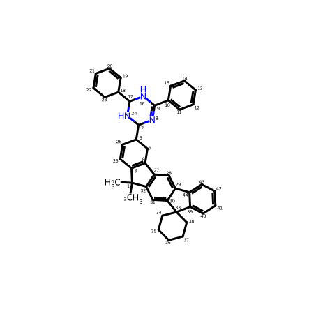 CC1(C)C2=C(CC(C3N=C(c4ccccc4)NC(C4C=CC=CC4)N3)C=C2)c2cc3c(cc21)C1(CCCCC1)c1ccccc1-3